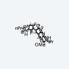 CCCS(=O)(=O)Nc1ncc(F)c(-c2cc3cnc(NN(C(=O)OC)C(C)C)nc3n(C)c2=O)c1F